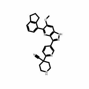 COc1cc2[nH]nc(-c3ccc(C4(C#N)CCNCC4)nc3)c2nc1-c1cccc2c1CCC2